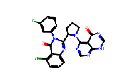 O=c1nc[nH]c2ncnc(N3CCCC3c3nc4cccc(Cl)c4c(=O)n3-c3cccc(F)c3)c12